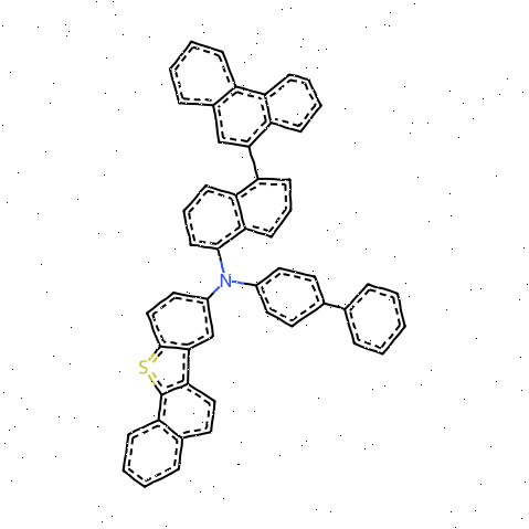 c1ccc(-c2ccc(N(c3ccc4sc5c6ccccc6ccc5c4c3)c3cccc4c(-c5cc6ccccc6c6ccccc56)cccc34)cc2)cc1